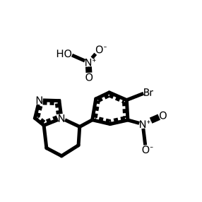 O=[N+]([O-])O.O=[N+]([O-])c1cc(C2CCCc3cncn32)ccc1Br